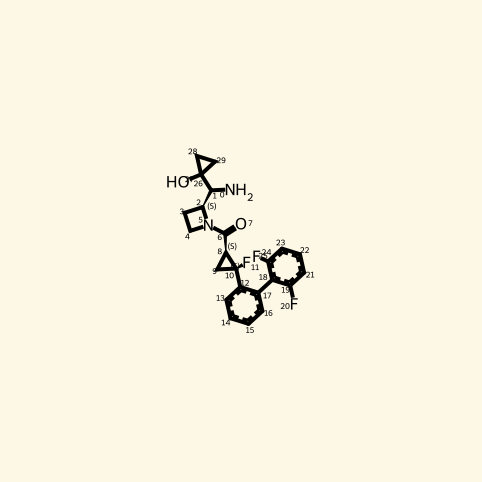 NC([C@@H]1CCN1C(=O)[C@@H]1C[C@@]1(F)c1ccccc1-c1c(F)cccc1F)C1(O)CC1